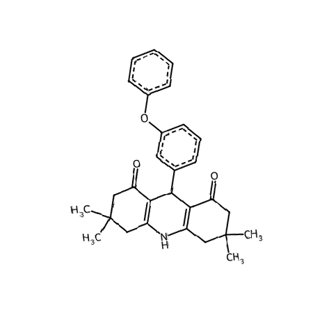 CC1(C)CC(=O)C2=C(C1)NC1=C(C(=O)CC(C)(C)C1)C2c1cccc(Oc2ccccc2)c1